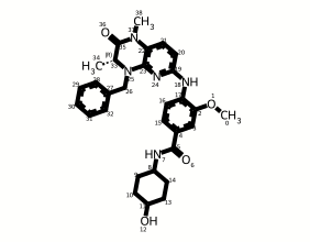 COc1cc(C(=O)NC2CCC(O)CC2)ccc1Nc1ccc2c(n1)N(Cc1ccccc1)[C@H](C)C(=O)N2C